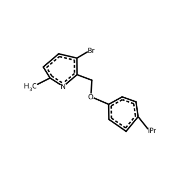 Cc1ccc(Br)c(COc2ccc(C(C)C)cc2)n1